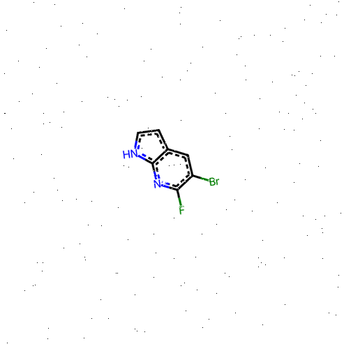 Fc1nc2[nH]ccc2cc1Br